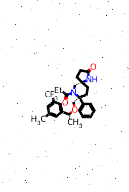 CCC(=O)N1C[C@@]2(CCC(=O)N2)CC[C@@]1(CO[C@H](C)c1cc(C)cc(C(F)(F)F)c1)c1ccccc1